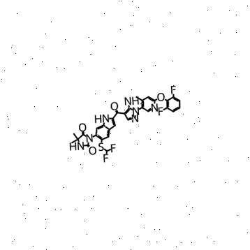 Cc1cc(Oc2c(F)cccc2F)ncc1-n1ncc(C(=O)c2cc3cc(SC(F)F)c(N4C(=O)NC(C)(C)C4=O)cc3[nH]2)c1N